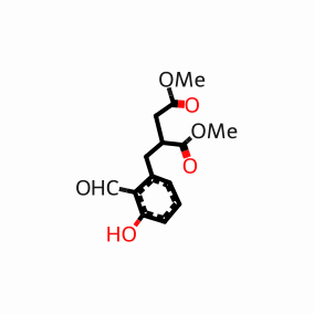 COC(=O)CC(Cc1cccc(O)c1C=O)C(=O)OC